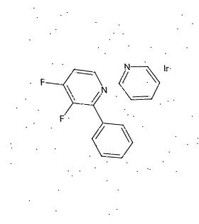 Fc1ccnc(-c2ccccc2)c1F.[Ir].c1ccncc1